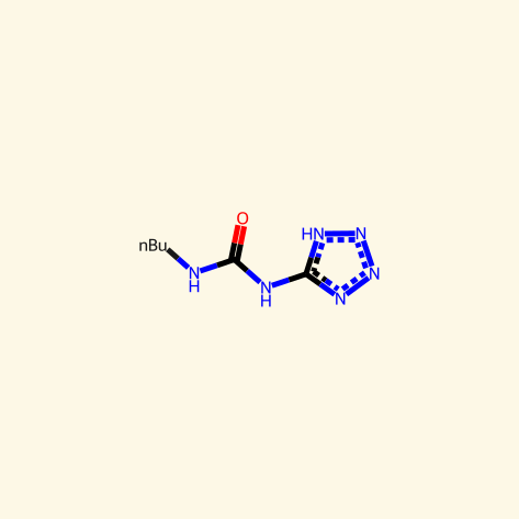 CCCCNC(=O)Nc1nnn[nH]1